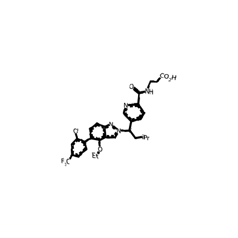 CCOc1c(-c2ccc(C(F)(F)F)cc2Cl)ccc2nn(C(CC(C)C)c3ccc(C(=O)NCCC(=O)O)nc3)cc12